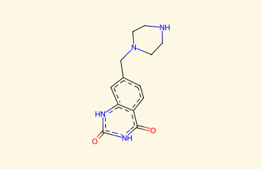 O=c1[nH]c(=O)c2ccc(CN3CCNCC3)cc2[nH]1